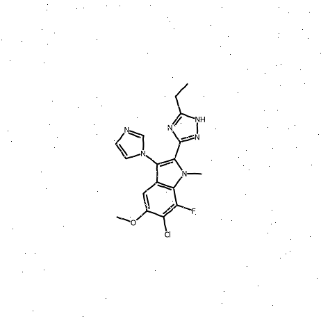 CCc1nc(-c2c(-n3ccnc3)c3cc(OC)c(Cl)c(F)c3n2C)n[nH]1